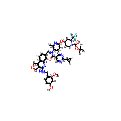 COc1ccc(CNc2nc3cc(CN(C(=O)c4cnc(C5CC5)nc4)c4ccc(OC5CCN(C(=O)OC(C)(C)C)C(C(F)(F)F)C5)nc4C)ccc3c3c2COC3)c(OC)c1